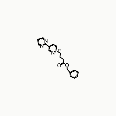 O=C(CCC[n+]1ccc(-c2ncccn2)cn1)OCc1ccccc1